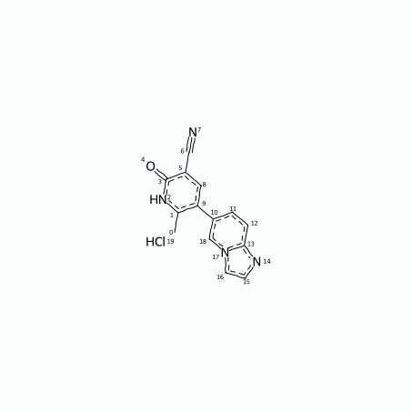 Cc1[nH]c(=O)c(C#N)cc1-c1ccc2nccn2c1.Cl